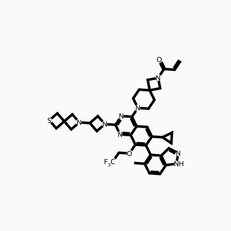 C=CC(=O)N1CC2(CCN(c3nc(N4CC(N5CC6(CSC6)C5)C4)nc4c(OCC(F)(F)F)c(-c5c(C)ccc6[nH]ncc56)c(C5CC5)cc34)CC2)C1